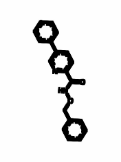 O=C(NOCc1ccccc1)c1ccc(-c2ccccc2)cn1